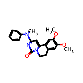 COc1cc2c(cc1OC)-c1cc(N(C)c3ccccc3)nc(=O)n1CC2